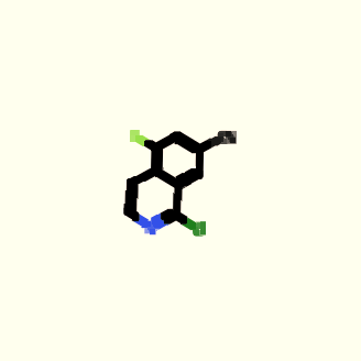 N#Cc1cc(F)c2ccnc(Cl)c2c1